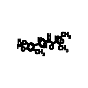 Cc1nc(C(=O)Nc2cnc(-c3cc4c(cc3C)OC(F)(F)O4)cn2)c(C)o1